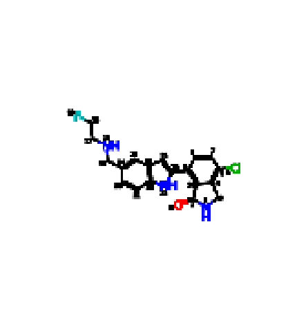 O=C1NCc2c(Cl)ccc(-c3cc4cc(CNCCF)ccc4[nH]3)c21